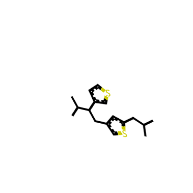 CC(C)Cc1cc(CC(c2ccsc2)C(C)C)cs1